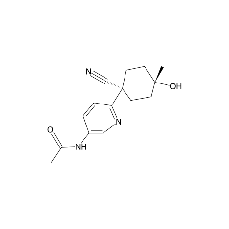 CC(=O)Nc1ccc([C@]2(C#N)CC[C@@](C)(O)CC2)nc1